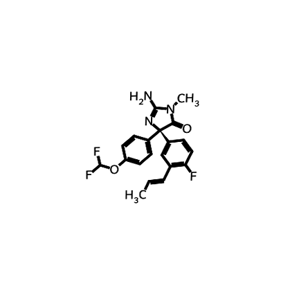 CC=Cc1cc([C@@]2(c3ccc(OC(F)F)cc3)N=C(N)N(C)C2=O)ccc1F